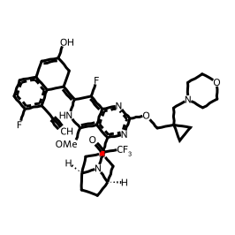 C#Cc1c(F)ccc2c1C(=C1NC(OC)=c3c(N4C[C@H]5CC[C@@H](C4)N5C(=O)C(F)(F)F)nc(OCC4(CN5CCOCC5)CC4)nc3=C1F)CC(O)=C2